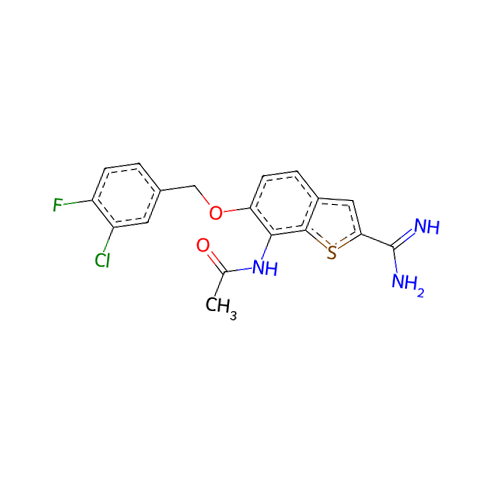 CC(=O)Nc1c(OCc2ccc(F)c(Cl)c2)ccc2cc(C(=N)N)sc12